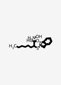 CCCCCCC(Sn1cc2ccccc2n1)C(=O)O.NO